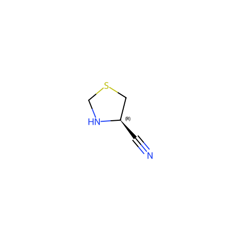 N#C[C@@H]1CSCN1